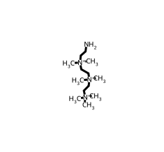 C[N+](C)(C)CC[N+](C)(C)CC[N+](C)(C)CCN